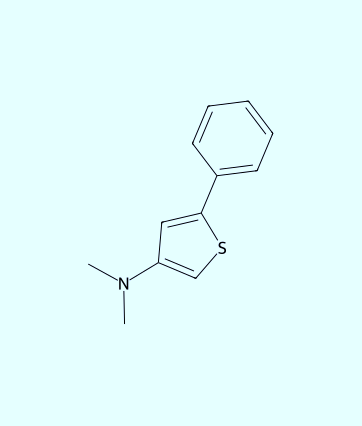 CN(C)c1csc(-c2ccccc2)c1